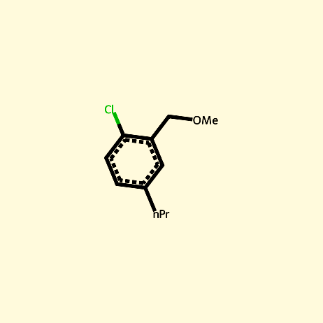 CCCc1ccc(Cl)c(COC)c1